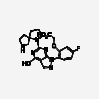 O=C(O)COc1cc(F)ccc1-n1ncc2c(O)nc(N3CCCC34CCNC4)nc21